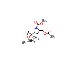 CC(C)(C)OC(=O)N1CC(C(C)(C)O[SiH2]C(C)(C)C)CC1COC(=O)C(C)(C)C